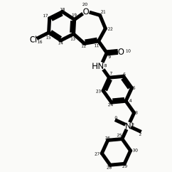 C[N+](C)(Cc1ccc(NC(=O)C2=Cc3cc(Cl)ccc3OCC2)cc1)C1CCCCC1